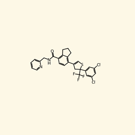 O=C(NCc1ccccn1)c1ccc(C2=CSC(c3cc(Cl)cc(Cl)c3)(C(F)(F)F)C2)c2c1CCC2